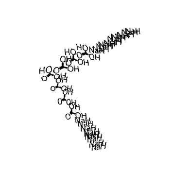 O=C(O)O.O=C(O)O.O=C(O)O.O=C(O)O.O=C(O)O.O=C(O)O.O=C(O)O.[NaH].[NaH].[NaH].[NaH].[NaH].[NaH].[NaH].[NaH].[NaH].[NaH].[NaH].[NaH].[NaH].[NaH].[NaH].[NaH].[NaH].[NaH]